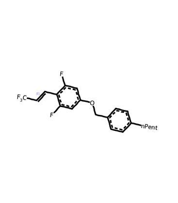 CCCCCc1ccc(COc2cc(F)c(/C=C/C(F)(F)F)c(F)c2)cc1